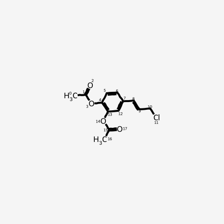 CC(=O)Oc1ccc(/C=C/CCl)cc1OC(C)=O